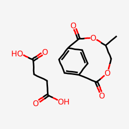 CC1COC(=O)c2ccc(cc2)C(=O)O1.O=C(O)CCC(=O)O